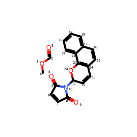 COC=O.O=C1C=CC(=O)N1C1C=Cc2ccc3ccccc3c2O1